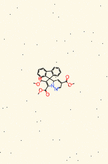 COC(=O)C1=CC2N(N=C1)C(C(=O)OC)=C(C(=O)OC)C21c2ccccc2-c2ccccc21